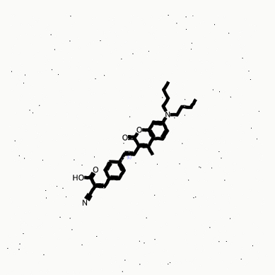 CCCCN(CCCC)c1ccc2c(C)c(/C=C/c3ccc(C=C(C#N)C(=O)O)cc3)c(=O)oc2c1